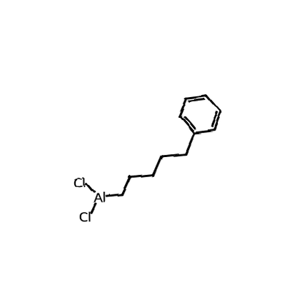 [Cl][Al]([Cl])[CH2]CCCCc1ccccc1